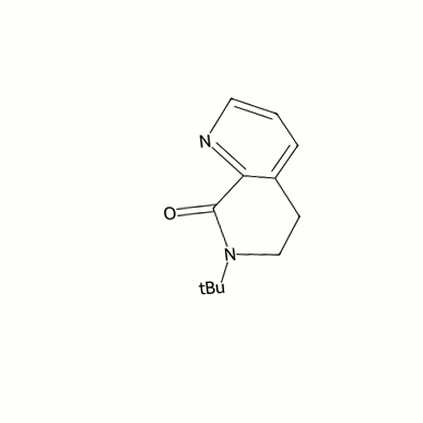 CC(C)(C)N1CCc2cccnc2C1=O